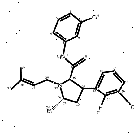 C=C(Nc1cccc(Cl)c1)C1C(c2cccc(Cl)c2F)C[C@H](CC)N1CC=C(C)C